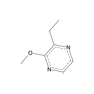 CCc1nc[c]nc1OC